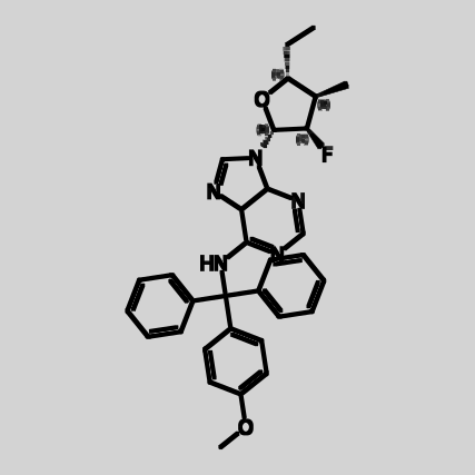 CC[C@H]1O[C@@H](N2C=NC3C(NC(c4ccccc4)(c4ccccc4)c4ccc(OC)cc4)=NC=NC32)[C@H](F)[C@@H]1C